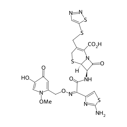 COn1cc(O)c(=O)cc1CO/N=C(\C(=O)N[C@@H]1C(=O)N2C(C(=O)O)=C(CSc3cnns3)CS[C@H]12)c1csc(N)n1